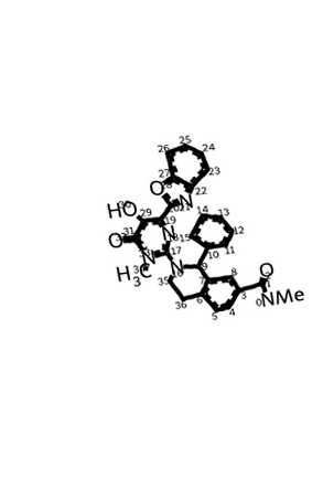 CNC(=O)c1ccc2c(c1)C(c1ccccc1)N(c1nc(-c3nc4ccccc4o3)c(O)c(=O)n1C)CC2